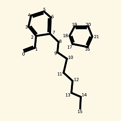 C=Cc1ccccc1CCCCCCCC.c1ccccc1